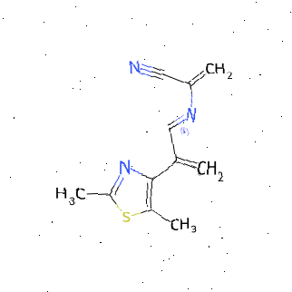 C=C(C#N)/N=C/C(=C)c1nc(C)sc1C